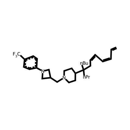 C=C/C=C\C=C/CC(CCC)(CCCC)C1CCN(CC2CN(c3ccc(C(F)(F)F)cc3)C2)CC1